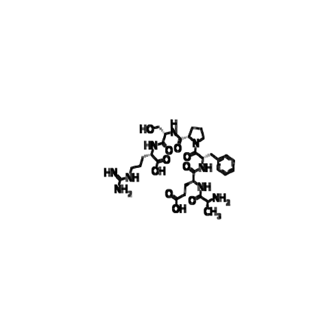 C[C@H](N)C(=O)N[C@@H](CCC(=O)O)C(=O)N[C@@H](Cc1ccccc1)C(=O)N1CCC[C@H]1C(=O)N[C@@H](CO)C(=O)N[C@@H](CCCNC(=N)N)C(=O)O